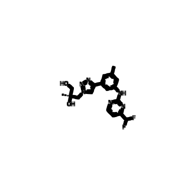 Cc1cc(Nc2nccc(C(F)F)n2)cc(-c2cn(C[C@@](C)(O)CO)nn2)c1